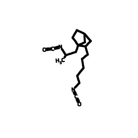 CC(CC12CCC(CC1CCCCCN=C=O)C2)N=C=O